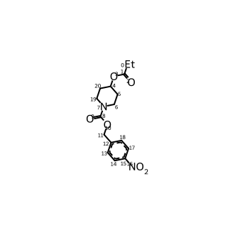 CCC(=O)OC1CCN(C(=O)OCc2ccc([N+](=O)[O-])cc2)CC1